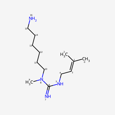 CC(C)=CCNC(=N)N(C)CCCCCCN